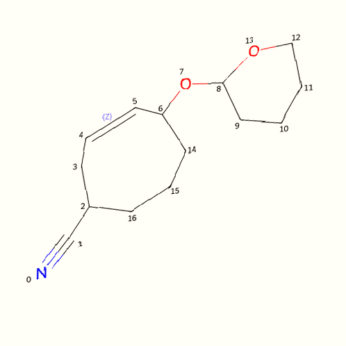 N#CC1C/C=C\C(OC2CCCCO2)CCC1